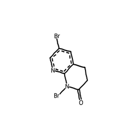 O=C1CCc2cc(Br)cnc2N1Br